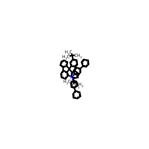 CC(C)(C)c1ccc2c(c1)C1(c3cc(C(C)(C)C)ccc3-2)c2ccccc2-c2cccc(N(c3ccc(-c4ccccc4)cc3)c3ccc(-c4ccccc4)cc3)c21